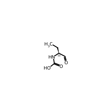 CC[C@@H](C=O)NC(=O)O